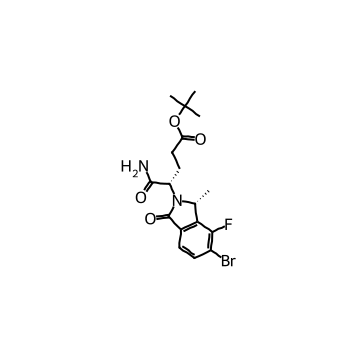 C[C@@H]1c2c(ccc(Br)c2F)C(=O)N1[C@@H](CCC(=O)OC(C)(C)C)C(N)=O